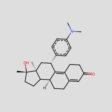 CN(C)c1ccc([C@H]2C[C@@]3(C)C(CC[C@]3(C)O)[C@@H]3CCC4=CC(=O)CCC4=C32)cc1